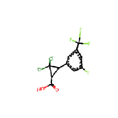 O=C(O)C1C(c2cc(F)cc(C(F)(F)F)c2)C1(Cl)Cl